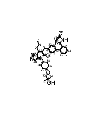 CCCc1c(Cc2ccc(-c3ccccc3-c3noc(=O)[nH]3)cc2)c(=O)n(C2CCC(OCC(C)(C)O)CC2)c2cnnn12